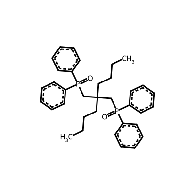 CCCCC(CCCC)(CP(=O)(c1ccccc1)c1ccccc1)CP(=O)(c1ccccc1)c1ccccc1